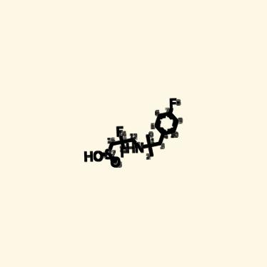 CC(C)(Cc1ccc(F)cc1)NCC(F)(F)CS(=O)O